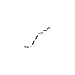 CC(=O)CCOCC#CC#CCC(C)(C)C